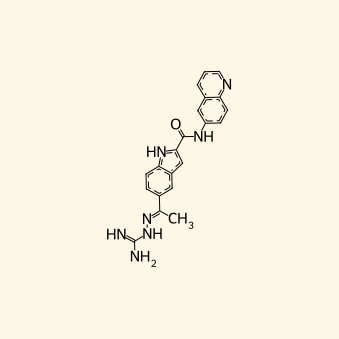 C/C(=N\NC(=N)N)c1ccc2[nH]c(C(=O)Nc3ccc4ncccc4c3)cc2c1